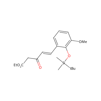 CCOC(=O)CC(=O)/C=C/c1cccc(OC)c1O[Si](C)(C)C(C)(C)C